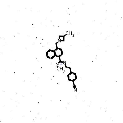 C=N/C(=N\CCc1ccc(C#N)cc1)c1ccc(CN2CC(C)C2)c2ccccc12